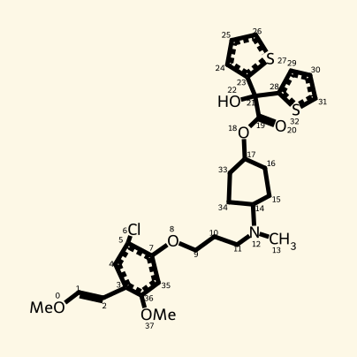 CO/C=C/c1cc(Cl)c(OCCCN(C)C2CCC(OC(=O)C(O)(c3cccs3)c3cccs3)CC2)cc1OC